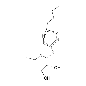 CCCCc1cnc(C[C@@H](NCC)[C@H](O)CO)cn1